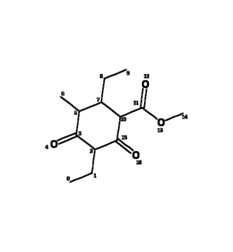 CCC1C(=O)C(C)C(CC)C(C(=O)OC)C1=O